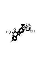 CNC(=O)c1c(-c2ccc(F)cc2)oc2cc(N(CC(=O)O)S(C)(=O)=O)c(C3CC3)cc12